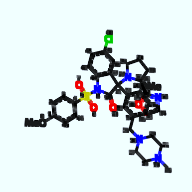 COc1ccc(S(=O)(=O)N2C(=O)C(c3cc(CN4CCN(C)CC4)ccc3OC)(N3CCC[C@H]3c3ncco3)c3cc(Cl)ccc32)cc1